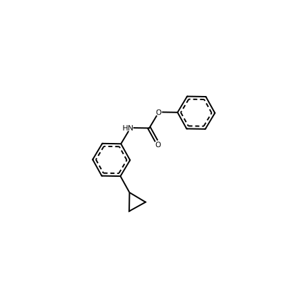 O=C(Nc1cccc(C2CC2)c1)Oc1ccccc1